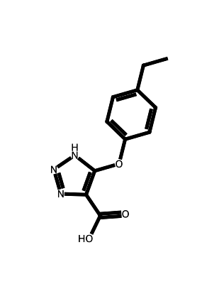 CCc1ccc(Oc2[nH]nnc2C(=O)O)cc1